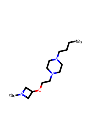 CC(C)(C)CCCN1CCN(CCOC2CN(C(C)(C)C)C2)CC1